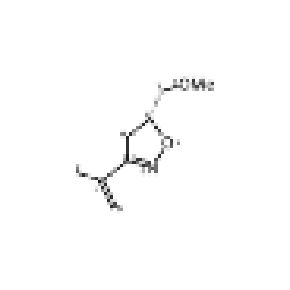 C=C(C)C1=NO[C@@H](COC)C1